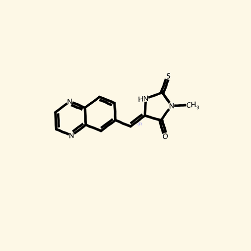 CN1C(=O)/C(=C/c2ccc3nccnc3c2)NC1=S